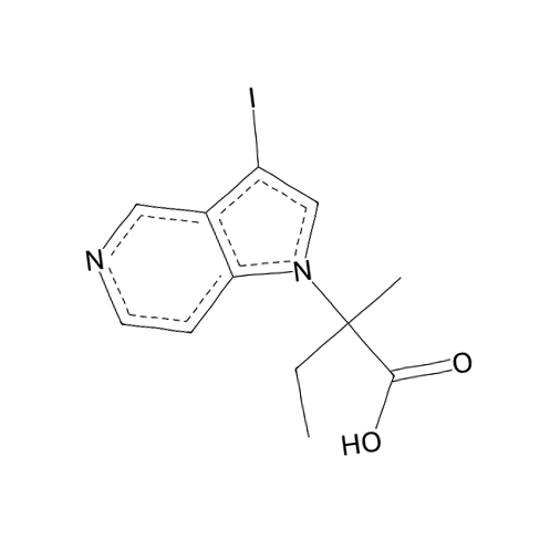 CCC(C)(C(=O)O)n1cc(I)c2cnccc21